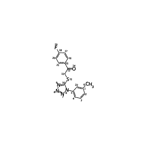 Cc1cccc(-n2nnnc2SCC(=O)c2ccc(F)cc2)c1